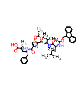 CC(=O)O[C@H](C[C@@H](C(C)C)N(C)C(=O)[C@H](CCC(C)C)NC(=O)OCC1c2ccccc2-c2ccccc21)c1nc(C(=O)N[C@H](Cc2ccccc2)C[C@H](C)C(=O)O)cs1